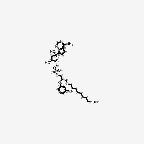 CCCCCCCCCCCCCCCCCCOC[C@H](COP(=O)(O)OC[C@H]1O[C@@](C#N)(c2ccc3c(N)ncnn23)C[C@@H]1O)Oc1cncc(C#N)c1